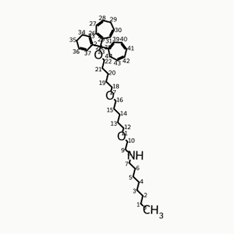 CCCCCCCCNCCOCCCCCOCCCCCOC(C1=CC=CCC=C1)(C1=CCCC=C1)C1=CC=CC=CC1